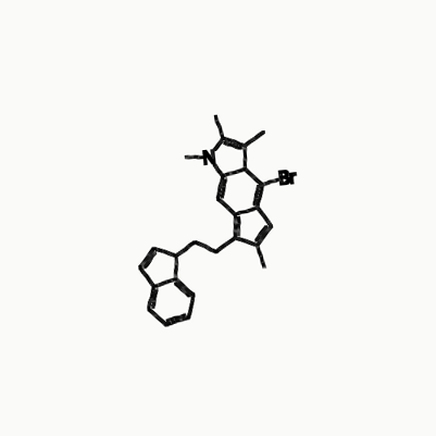 CC1=CC2=C(Br)C3C(=CC2=C1CCC1C=Cc2ccccc21)N(C)C(C)=C3C